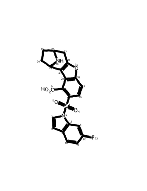 O=C(O)c1c(S(=O)(=O)n2ccc3ccc(F)cc32)ccc2oc3c(c12)C1CCC(C3)N1